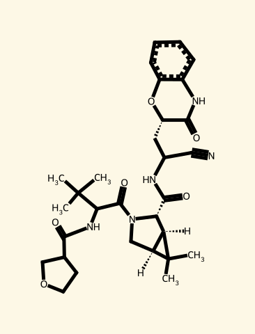 CC(C)(C)C(NC(=O)C1CCOC1)C(=O)N1C[C@H]2[C@@H]([C@H]1C(=O)NC(C#N)C[C@@H]1Oc3ccccc3NC1=O)C2(C)C